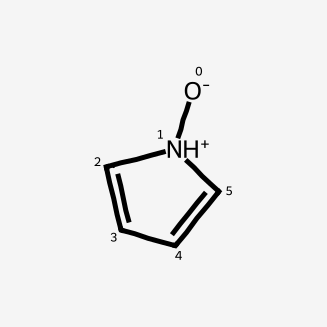 [O-][NH+]1[C]=CC=C1